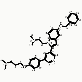 CN(C)CCCOc1ccc(-c2cncc(-c3cc4cc(OCc5ccccc5)ccc4n3CCN(C)C)c2)cc1